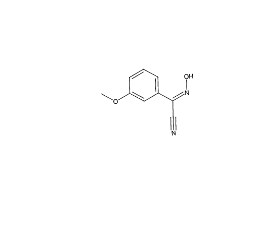 COc1cccc(/C(C#N)=N\O)c1